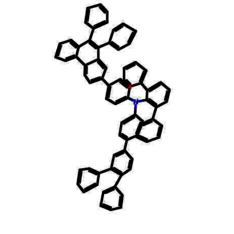 c1ccc(-c2ccc(-c3ccc(N(c4ccc(-c5ccc6c(c5)c(-c5ccccc5)c(-c5ccccc5)c5ccccc56)cc4)c4c(-c5ccccc5)cccc4-c4ccccc4)cc3)cc2-c2ccccc2)cc1